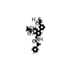 COC(=O)c1cccc(-c2ccc(CNC(=O)[C@H]3C[C@@H]3c3ccccc3)c3c2CCN(C(=O)C2(C)CC2)C3)c1